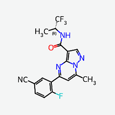 Cc1cc(-c2cc(C#N)ccc2F)nc2c(C(=O)N[C@H](C)C(F)(F)F)cnn12